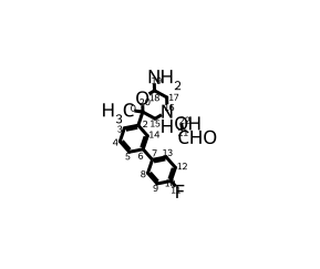 CC1(c2cccc(-c3ccc(F)cc3)c2)CNCC(N)O1.O=CO